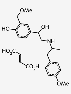 COCc1cc(C(O)CNC(C)Cc2ccc(OC)cc2)ccc1O.O=C(O)C=CC(=O)O